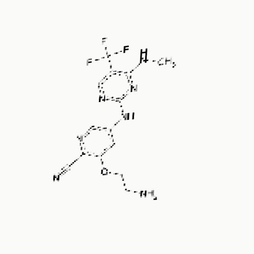 CNc1nc(Nc2cnc(C#N)c(OCCN)c2)ncc1C(F)(F)F